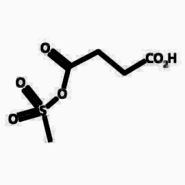 CS(=O)(=O)OC(=O)CCC(=O)O